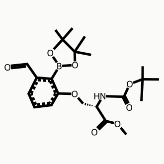 COC(=O)[C@H](COc1cccc(C=O)c1B1OC(C)(C)C(C)(C)O1)NC(=O)OC(C)(C)C